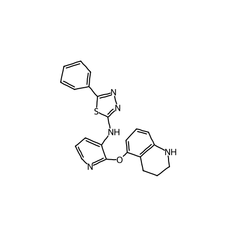 c1ccc(-c2nnc(Nc3cccnc3Oc3cccc4c3CCCN4)s2)cc1